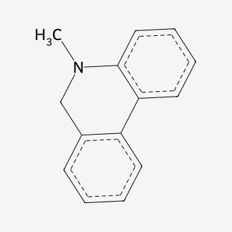 CN1Cc2ccccc2-c2ccccc21